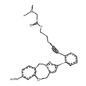 CC(=O)Nc1ccc2c(c1)OCc1cc(-c3ccccc3C#CCCCOC(=O)CN(C)C)nn1C2